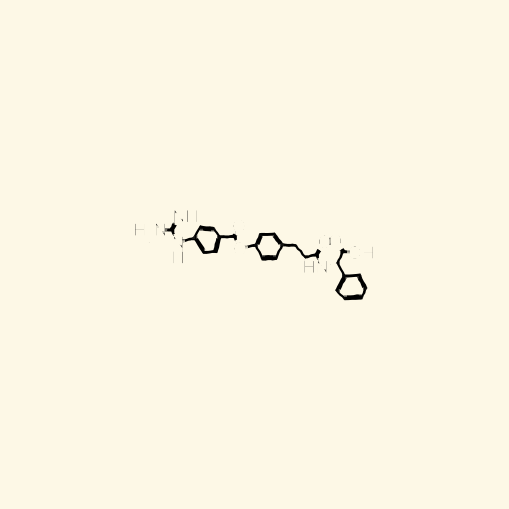 N=C(N)Nc1ccc(C(=O)Oc2ccc(CCC(=O)N[C@H](C(=O)O)c3ccccc3)cc2)cc1